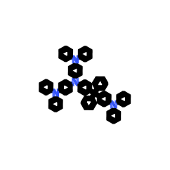 c1ccc(N(c2ccccc2)c2ccc(N(c3ccc(N(c4ccccc4)c4ccccc4)cc3)c3ccc(C(c4ccccc4)(c4ccccc4)c4ccc(N(c5ccccc5)c5ccccc5)cc4)cc3)cc2)cc1